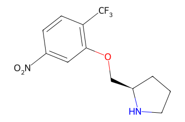 O=[N+]([O-])c1ccc(C(F)(F)F)c(OC[C@H]2CCCN2)c1